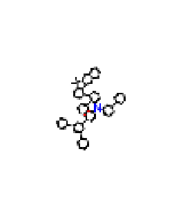 CC1(C)c2cc3ccccc3cc2-c2c(-c3cccc(N(c4ccc(-c5cc(-c6ccccc6)cc(-c6ccccc6)c5)cc4)c4cccc(-c5ccccc5)c4)c3-c3ccccc3)cccc21